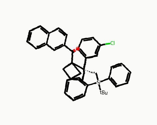 CC(C)(C)[Si](C[C@]1(c2cccc(Cl)c2)CC2CC1(C(=O)c1ccc3ccccc3c1)C2)(c1ccccc1)c1ccccc1